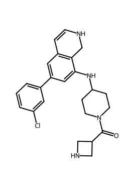 O=C(C1CNC1)N1CCC(Nc2cc(-c3cccc(Cl)c3)cc3c2CNC=C3)CC1